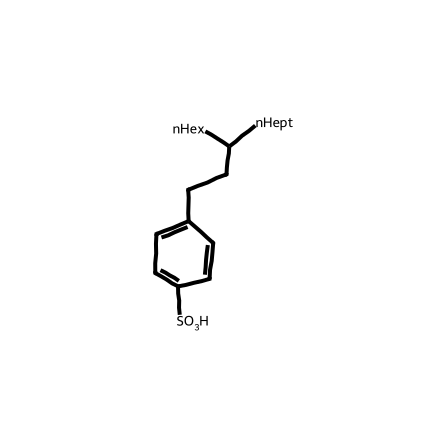 CCCCCCCC(CCCCCC)CCc1ccc(S(=O)(=O)O)cc1